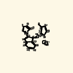 CC1=[C]([Zr+2][CH]2C(n3cccc3)=Cc3ccccc32)CC=C1.[Cl-].[Cl-]